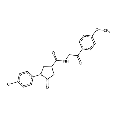 O=C(CNC(=O)C1CC(=O)N(c2ccc(Cl)cc2)C1)c1ccc(OC(F)(F)F)cc1